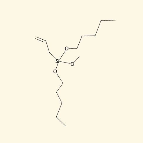 C=CC[Si](OC)(OCCCCC)OCCCCC